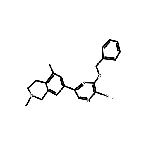 Cc1cc(-c2cnc(N)c(OCc3ccccc3)n2)cc2c1CCN(C)C2